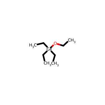 CC[O][Ge]([CH2]C)([CH2]C)[CH2]C